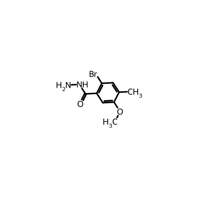 COc1cc(C(=O)NN)c(Br)cc1C